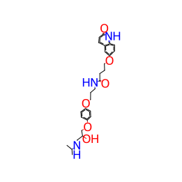 CC(C)NCC(O)COc1ccc(OCCCNC(=O)CCCOc2ccc3[nH]c(=O)ccc3c2)cc1